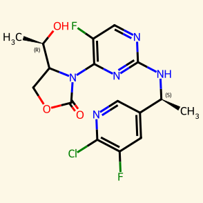 C[C@H](Nc1ncc(F)c(N2C(=O)OCC2[C@@H](C)O)n1)c1cnc(Cl)c(F)c1